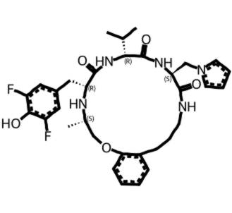 CC(C)[C@H]1NC(=O)[C@@H](Cc2cc(F)c(O)c(F)c2)N[C@@H](C)COc2ccccc2CCCNC(=O)[C@H](Cn2cccc2)NC1=O